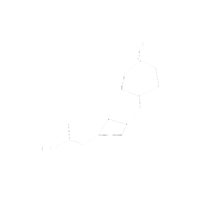 CC(C)OC1CC(OC2CCN(C)CC2)C1